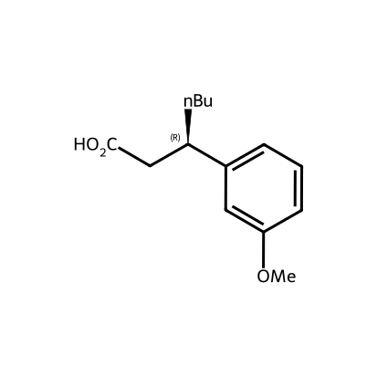 CCCC[C@H](CC(=O)O)c1cccc(OC)c1